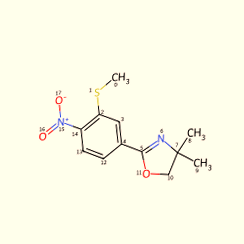 CSc1cc(C2=NC(C)(C)CO2)ccc1[N+](=O)[O-]